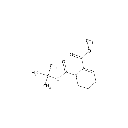 COC(=O)C1=CCCCN1C(=O)OC(C)(C)C